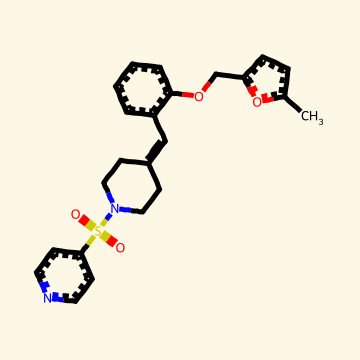 Cc1ccc(COc2ccccc2C=C2CCN(S(=O)(=O)c3ccncc3)CC2)o1